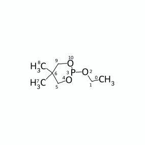 CCOP1OCC(C)(C)CO1